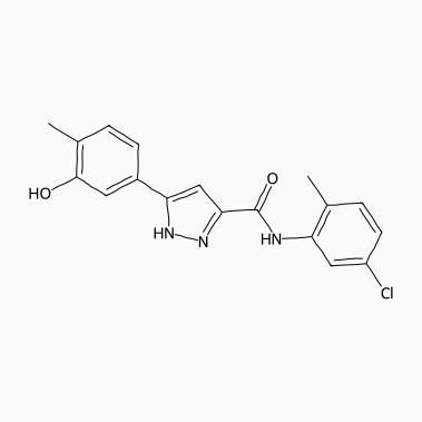 Cc1ccc(-c2cc(C(=O)Nc3cc(Cl)ccc3C)n[nH]2)cc1O